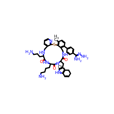 Cc1ccc(-c2ccc(/C(N)=N/N)cc2)c2c1Sc1ncccc1CNC(CCCN)C(=O)NC(CCCCN)C(=O)N(C)C(Cc1c[nH]c3c1CCC=C3)C(=O)NC2